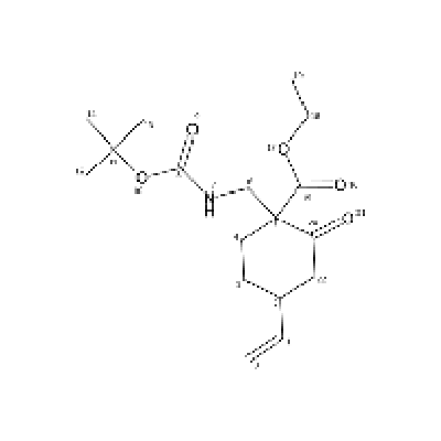 C=CC1CCC(CNC(=O)OC(C)(C)C)(C(=O)OCC)C(=O)C1